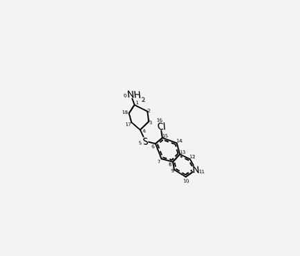 NC1CCC(Sc2cc3ccncc3cc2Cl)CC1